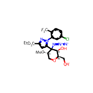 CCOC(=O)c1cc(C2(N=[N+]=[N-])[C@@H](OC)CO[C@H](CO)[C@@H]2O)n(-c2cc(Cl)ccc2C(F)(F)F)n1